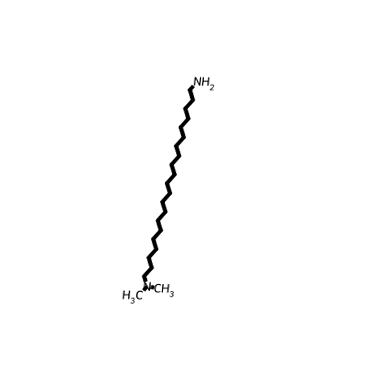 CN(C)CCCCCCCCCCCCCCCCCCCCCN